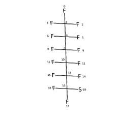 FC(F)(F)C(F)(F)C(F)(F)C(F)(F)C(F)(F)C(F)(F)[S]